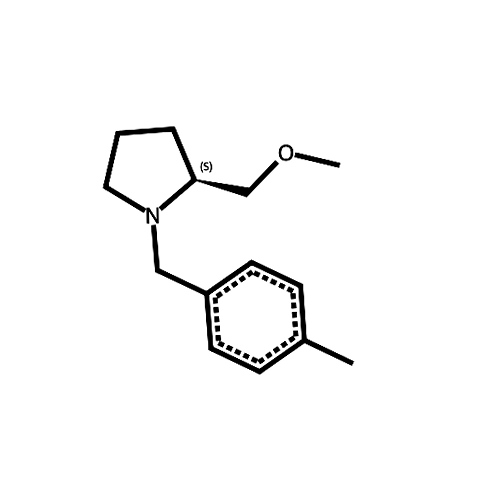 COC[C@@H]1CCCN1Cc1ccc(C)cc1